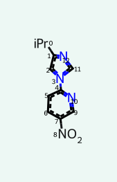 CC(C)c1cn(-c2ccc([N+](=O)[O-])cn2)cn1